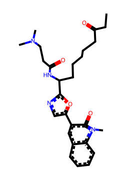 CCC(=O)CCCCCC(NC(=O)CCN(C)C)c1ncc(-c2cc3ccccc3n(C)c2=O)o1